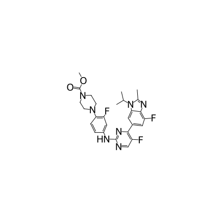 COC(=O)N1CCN(c2ccc(Nc3ncc(F)c(-c4cc(F)c5nc(C)n(C(C)C)c5c4)n3)cc2F)CC1